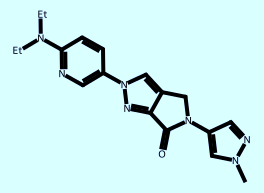 CCN(CC)c1ccc(-n2cc3c(n2)C(=O)N(c2cnn(C)c2)C3)cn1